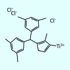 CC1=C(C(c2cc(C)cc(C)c2)c2cc(C)cc(C)c2)CC=[C]1[Ti+3].[Cl-].[Cl-].[Cl-]